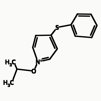 CC(C)O[n+]1ccc(Sc2ccccc2)cc1